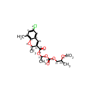 Cc1cc(Cl)cc2c1O[C@H](C(F)(F)F)C(C(=O)OC(C)OC(=O)OCC(C)O[N+](=O)[O-])=C2